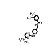 Cc1ccc(C(=O)NCC2CCC(Nc3nccc(N(C)C)n3)CC2)cc1[N+](=O)[O-]